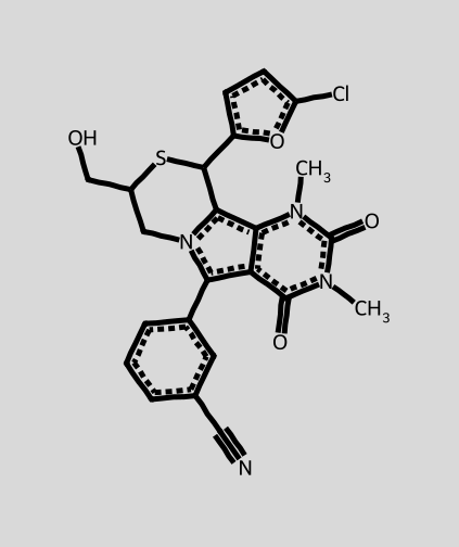 Cn1c(=O)c2c(-c3cccc(C#N)c3)n3c(c2n(C)c1=O)C(c1ccc(Cl)o1)SC(CO)C3